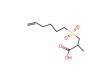 C=CCCCCS(=O)(=O)CC(C)C(=O)O